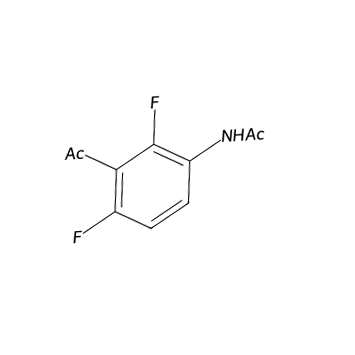 CC(=O)Nc1ccc(F)c(C(C)=O)c1F